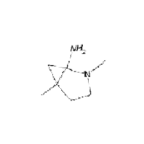 CN1CCC2(C)CC12N